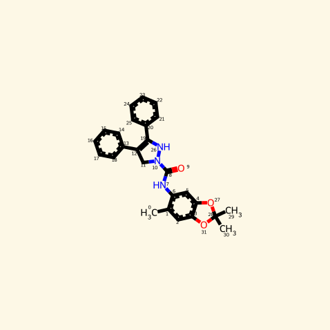 Cc1cc2c(cc1NC(=O)N1CC(c3ccccc3)=C(c3ccccc3)N1)OC(C)(C)O2